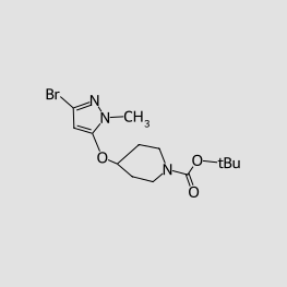 Cn1nc(Br)cc1OC1CCN(C(=O)OC(C)(C)C)CC1